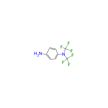 Nc1ccc(N(C(F)(F)F)C(F)(F)F)cc1